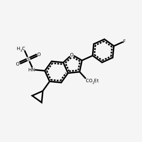 CCOC(=O)c1c(-c2ccc(F)cc2)oc2cc(NS(C)(=O)=O)c(C3CC3)cc12